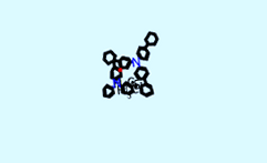 C[Si]1(C)c2ccccc2-c2ccc(N(c3ccc(C4CCCCC4)cc3)c3ccc(C4(c5ccc(N(c6ccccc6)c6ccccc6)cc5)CCCCC4)cc3)cc21